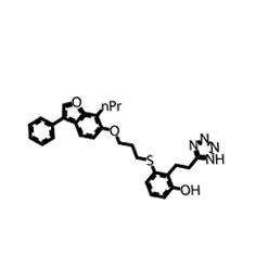 CCCc1c(OCCCSc2cccc(O)c2CCc2nnn[nH]2)ccc2c(-c3ccccc3)coc12